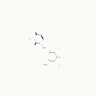 O=c1ccn(COC2O[C@H](CO)[C@@H](O)[C@H](O)[C@H]2O)c(=O)[nH]1